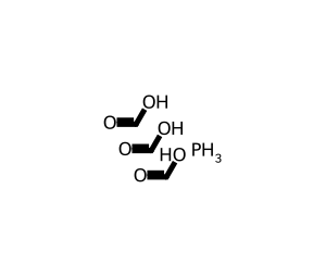 O=CO.O=CO.O=CO.P